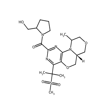 CC1COC[C@@H]2COc3c(nc(C(=O)N4CCCC4CO)nc3C(C)(C)S(C)(=O)=O)N12